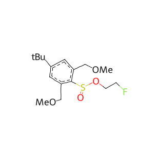 COCc1cc(C(C)(C)C)cc(COC)c1S(=O)OCCF